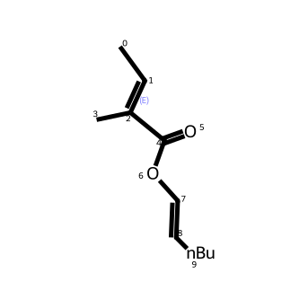 C/C=C(\C)C(=O)OC=CCCCC